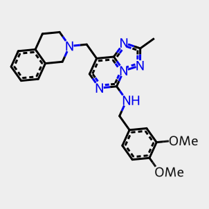 COc1ccc(CNc2ncc(CN3CCc4ccccc4C3)c3nc(C)nn23)cc1OC